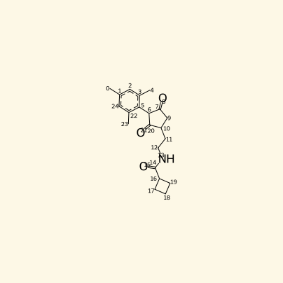 Cc1cc(C)c(C2C(=O)CC(CCNC(=O)C3CCC3)C2=O)c(C)c1